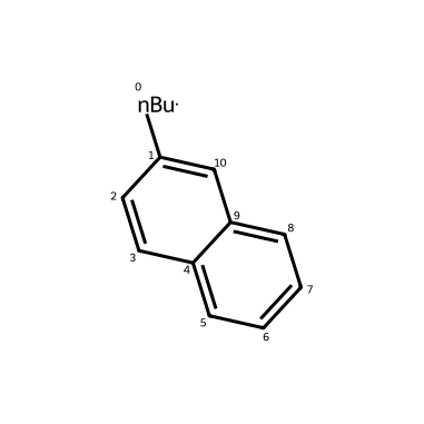 CCC[CH]c1ccc2ccccc2c1